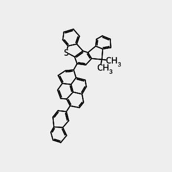 CC1(C)c2ccccc2-c2c1cc(-c1ccc3ccc4c(-c5ccc6ccccc6c5)ccc5ccc1c3c54)c1sc3ccccc3c21